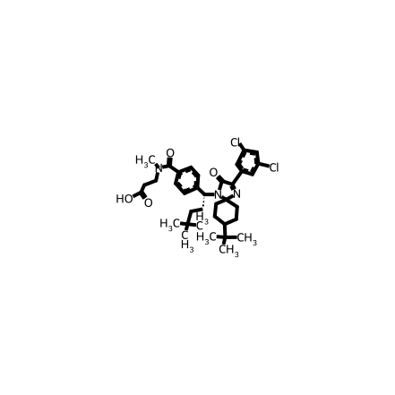 CN(CCC(=O)O)C(=O)c1ccc([C@@H](CCC(C)(C)C)N2C(=O)C(c3cc(Cl)cc(Cl)c3)=NC23CCC(C(C)(C)C)CC3)cc1